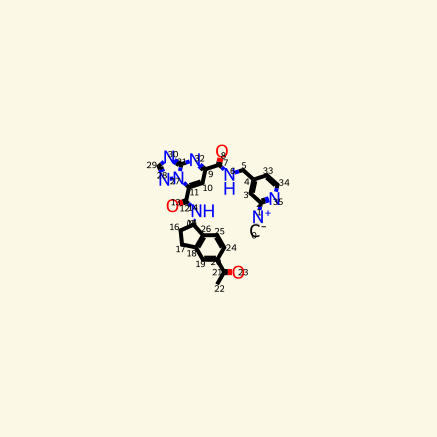 [C-]#[N+]c1cc(CNC(=O)c2cc(C(=O)N[C@H]3CCc4cc(C(C)=O)ccc43)n3ncnc3n2)ccn1